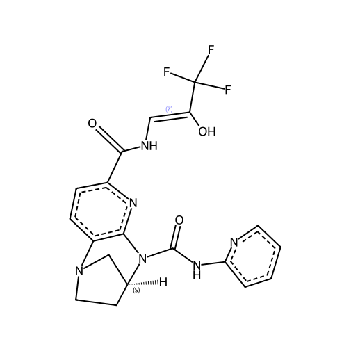 O=C(N/C=C(\O)C(F)(F)F)c1ccc2c(n1)N(C(=O)Nc1ccccn1)[C@H]1CCN2C1